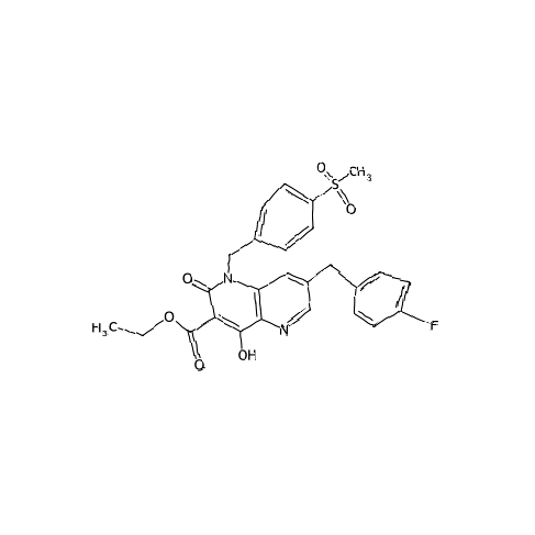 CCOC(=O)c1c(O)c2ncc(Cc3ccc(F)cc3)cc2n(Cc2ccc(S(C)(=O)=O)cc2)c1=O